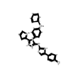 Clc1ccc(-c2csc(Sc3nnc(-c4cccs4)n3-c3ccc(Oc4ccccc4)cc3)n2)cc1